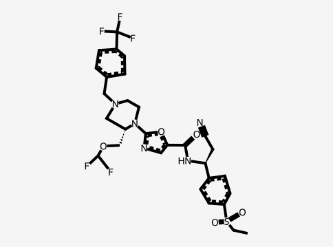 CCS(=O)(=O)c1ccc([C@H](CC#N)NC(=O)c2cnc(N3CCN(Cc4ccc(C(F)(F)F)cc4)C[C@H]3COC(F)F)o2)cc1